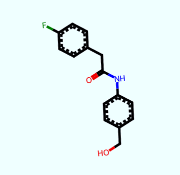 O=C(Cc1ccc(F)cc1)Nc1ccc(CO)cc1